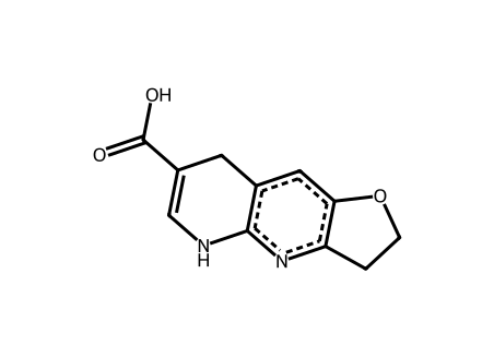 O=C(O)C1=CNc2nc3c(cc2C1)OCC3